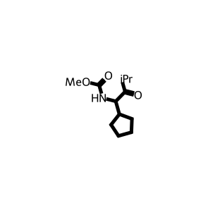 COC(=O)NC(C(=O)C(C)C)C1CCCC1